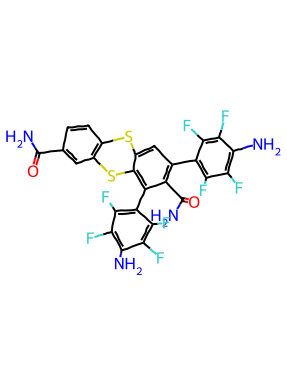 NC(=O)c1ccc2c(c1)Sc1c(cc(-c3c(F)c(F)c(N)c(F)c3F)c(C(N)=O)c1-c1c(F)c(F)c(N)c(F)c1F)S2